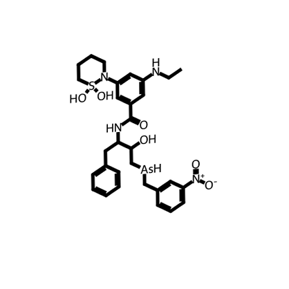 CCNc1cc(C(=O)NC(Cc2ccccc2)C(O)C[AsH]Cc2cccc([N+](=O)[O-])c2)cc(N2CCCCS2(O)O)c1